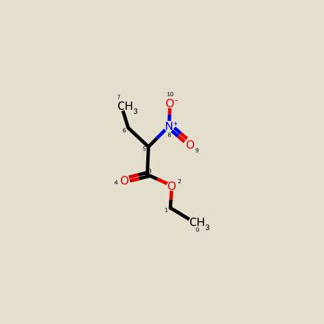 CCOC(=O)C(CC)[N+](=O)[O-]